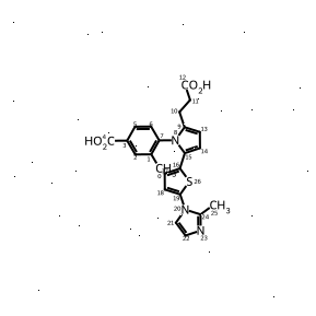 Cc1cc(C(=O)O)ccc1-n1c(CCC(=O)O)ccc1-c1ccc(-n2ccnc2C)s1